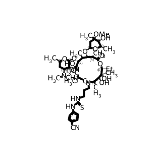 CC[C@H]1OC(=O)[C@H](C)[C@@H](O[C@H]2C[C@@](C)(OC)[C@@H](O)[C@H](C)O2)[C@H](C)[C@@H](O[C@@H]2O[C@H](C)C[C@H](N(C)C)[C@H]2O)[C@](C)(O)C[C@@H](C)CN(CCCNC(=S)Nc2ccc(C#N)cc2)[C@H](C)[C@@H](O)[C@]1(C)O